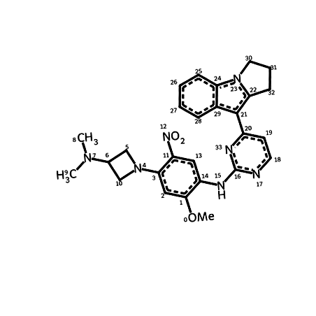 COc1cc(N2CC(N(C)C)C2)c([N+](=O)[O-])cc1Nc1nccc(-c2c3n(c4ccccc24)CCC3)n1